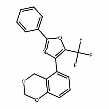 FC(F)(F)c1oc(-c2ccccc2)nc1-c1cccc2c1COCO2